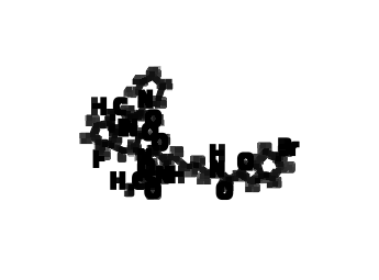 C[C@H](NC(=O)[C@H](Cc1ccccc1F)NC(=O)[C@H](CCCCNC(=O)c1cc2ccc(Br)cc2o1)NS(C)(=O)=O)C(=O)N1CCCCC1